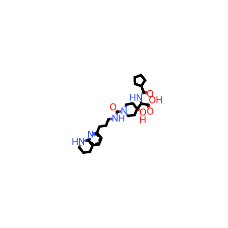 O=C(NC(C(=O)O)C1(O)CCN(C(=O)NCCCc2ccc3c(n2)NCCC3)CC1)C1CCCC1